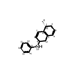 C[C@@H]1CC=CC2=C1C=CC(Nc1ccccc1)C2